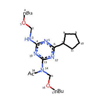 CCCCOCNc1nc(C2CCCC2)nc(N(COCCCC)C(C)=O)n1